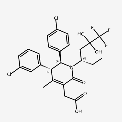 CC[C@@H](CC(O)(O)C(F)(F)F)N1C(=O)C(CC(=O)O)=C(C)[C@H](c2cccc(Cl)c2)[C@H]1c1ccc(Cl)cc1